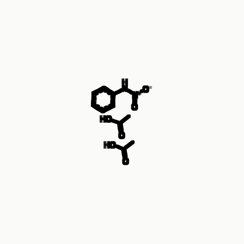 CC(=O)O.CC(=O)O.O=[N+]([O-])Nc1ccccc1